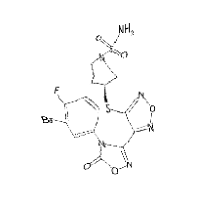 NS(=O)(=O)N1CC[C@H](Sc2nonc2-c2noc(=O)n2-c2ccc(F)c(Br)c2)C1